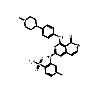 Cc1ccc(S(N)(=O)=O)c(Nc2cc3cc[nH]c(=O)c3c(Nc3ccc(C4CCN(C)CC4)cc3)n2)c1